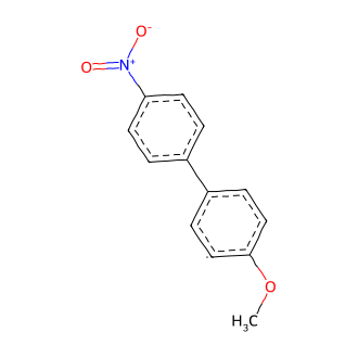 COc1[c]cc(-c2ccc([N+](=O)[O-])cc2)cc1